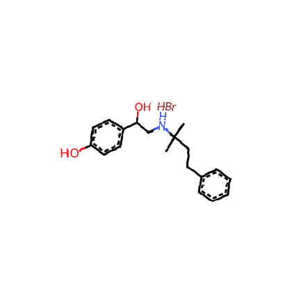 Br.CC(C)(CCc1ccccc1)NCC(O)c1ccc(O)cc1